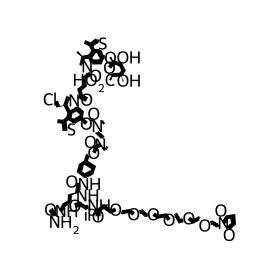 Cc1csc2c(OC(=O)N(C)CCN(C)C(=O)OCc3ccc(NC(=O)[C@H](CCCNC(N)=O)NC(=O)[C@@H](NC(=O)CCOCCOCCOCCOCCOCCOCCN4C(=O)C=CC4=O)C(C)C)cc3)cc3c(c12)[C@H](CCl)CN3C(=O)CCCC(=O)N1C[C@@H](C)c2c1cc(O[C@@H]1O[C@H](C(=O)O)[C@@H](O)C[C@H]1O)c1scc(C)c21